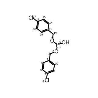 OP(OCc1ccc(Cl)cc1)OCc1ccc(Cl)cc1